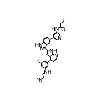 CCCC(=O)Nc1cncc(-c2ccc3[nH]nc(-c4cc5c(-c6cc(F)cc(NCCN(C)C)c6)ccnc5[nH]4)c3c2)c1